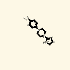 Nc1ccc(N2CCN(C3=NCCN3)CC2)cc1